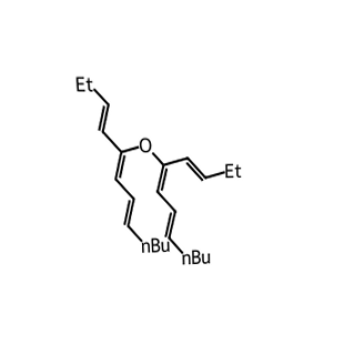 CCC=CC(=CC=CCCCC)OC(C=CCC)=CC=CCCCC